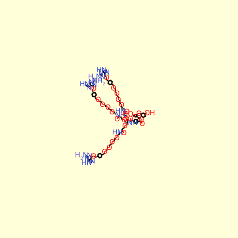 Nc1nc(OCc2ccc(COCCOCCOCCOCCNC(=O)CCOCC(COCCC(=O)NCCOCCOCCOCCOCc3ccc(COc4nc(N)nc5[nH]cnc45)cc3)(COCCC(=O)NCCOCCOCCOCCOCc3ccc(COc4nc(N)nc5[nH]cnc45)cc3)NC(=O)c3ccc4c(c3)C3(OC4=O)c4ccc(O)cc4Oc4cc(O)ccc43)cc2)c2nc[nH]c2n1